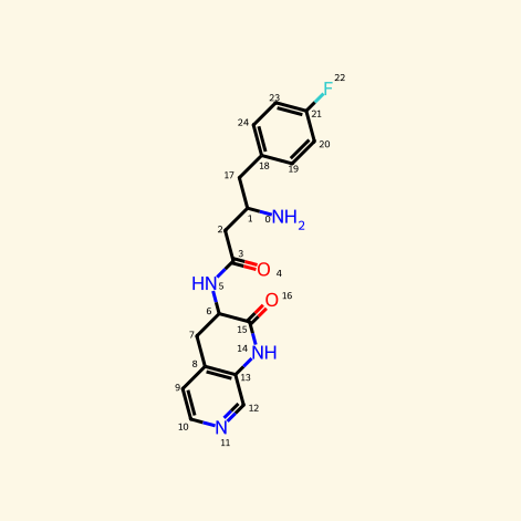 NC(CC(=O)NC1Cc2ccncc2NC1=O)Cc1ccc(F)cc1